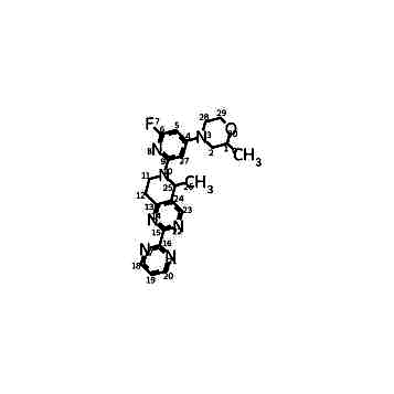 CC1CN(c2cc(F)nc(N3CCc4nc(-c5ncccn5)ncc4C3C)c2)CCO1